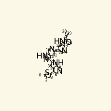 Cc1ccc(-c2cncc3[nH]c(-c4n[nH]c5cnc(-c6cncc(NC(=O)C7CC7)c6)cc45)cc23)s1